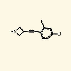 Fc1cc(Cl)ccc1C#CC1CNC1